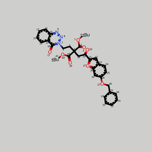 CC(C)(C)OC(=O)C(CCn1nnc2ccccc2c1=O)(CC(=O)c1cc2ccc(OCc3ccccc3)cc2o1)C(=O)OC(C)(C)C